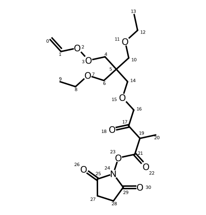 C=COOCC(COCC)(COCC)COCC(=O)C(C)C(=O)ON1C(=O)CCC1=O